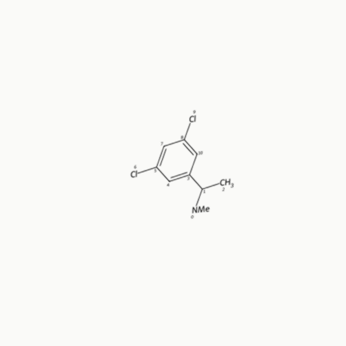 CNC(C)c1cc(Cl)cc(Cl)c1